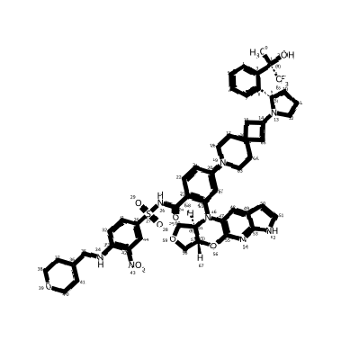 C[C@@](O)(c1ccccc1[C@@H]1CCCN1C1CC2(CCN(c3ccc(C(=O)NS(=O)(=O)c4ccc(NCC5CCOCC5)c([N+](=O)[O-])c4)c(N4c5cc6cc[nH]c6nc5O[C@@H]5COC[C@H]54)c3)CC2)C1)C(F)(F)F